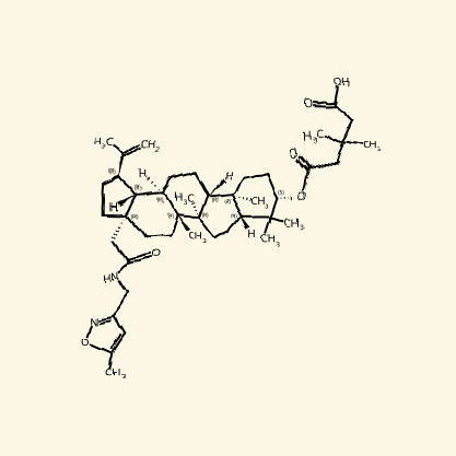 C=C(C)[C@@H]1CC[C@]2(CC(=O)NCc3cc(C)on3)CC[C@]3(C)[C@H](CC[C@@H]4[C@@]5(C)CC[C@H](OC(=O)CC(C)(C)CC(=O)O)C(C)(C)[C@@H]5CC[C@]43C)[C@@H]12